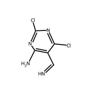 N=Cc1c(N)nc(Cl)nc1Cl